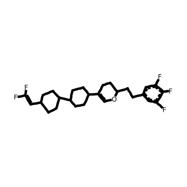 FC(F)=CC1CCC(C2CCC(C3=COC(CCc4cc(F)c(F)c(F)c4)CC3)CC2)CC1